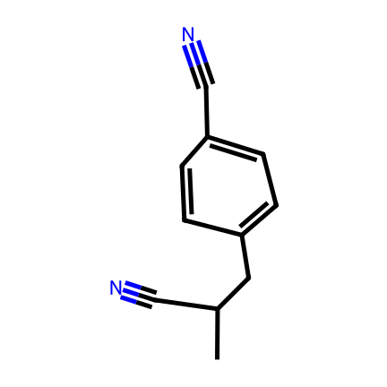 CC(C#N)Cc1ccc(C#N)cc1